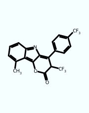 Cc1cccc2c1=C1OC(=O)C(C(F)(F)F)C(c3ccc(C(F)(F)F)cc3)=C1N=2